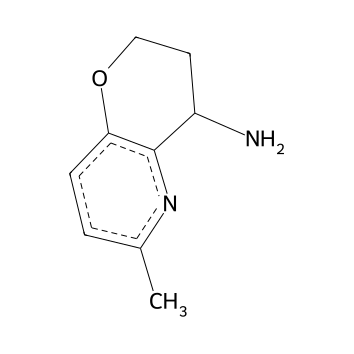 Cc1ccc2c(n1)C(N)CCO2